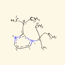 C[SiH](C)c1nccn1C(C)(C)C